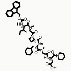 CC[C@H](C)[C@H](NC(=O)OCC1c2ccccc2-c2ccccc21)C(=O)N(C)CC(=O)N1CC[C@H]1C(=O)N(C)[C@@H](CC1CCCCC1)C(=O)N(C)CC(=O)N[C@@H](CC(=O)O)C(=O)N1CCCCC1